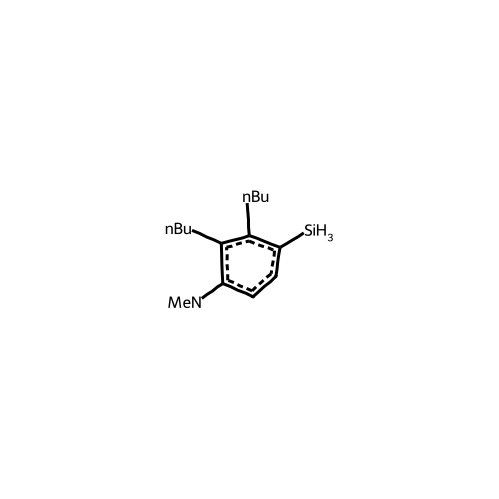 CCCCc1c([SiH3])ccc(NC)c1CCCC